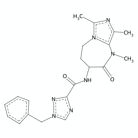 Cc1nc(C)n2c1N(C)C(=O)C(NC(=O)c1ncn(Cc3ccccc3)n1)CC2